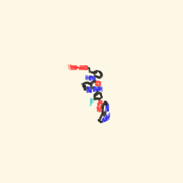 O=C(Nc1ccccc1CCO)c1cccnc1Nc1ccc(Oc2ccnc3[nH]ccc23)c(F)c1